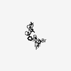 Cc1cn(C(=O)OC(C)(C)C)nc1CC1(c2cccc(-n3cc4c(C(F)(F)F)cc(Br)cn4c3=O)c2)COC1